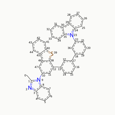 Cc1nc2ccccc2n1-c1cc(-c2cccc(-c3cccc(-n4c5ccccc5c5ccccc54)c3)c2)c2sc3ccccc3c2c1